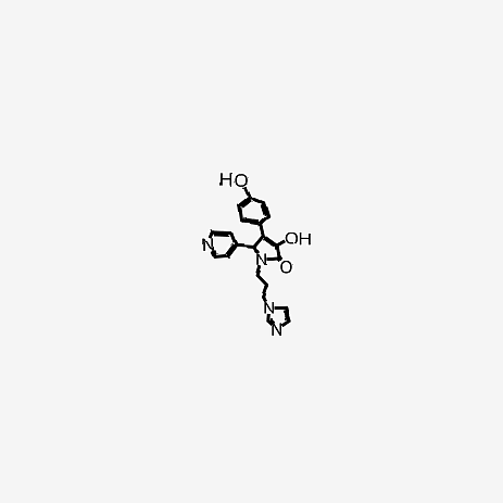 O=C1C(O)=C(c2ccc(O)cc2)C(c2ccncc2)N1CCCn1ccnc1